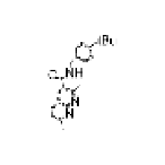 Cc1ccc2cc(C(=O)NCc3ccc(C(C)(C)C)cc3)c(C)nc2n1